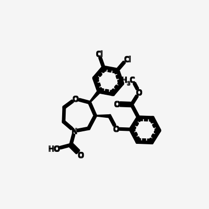 COC(=O)c1ccccc1OC[C@H]1CN(C(=O)O)CCO[C@H]1c1ccc(Cl)c(Cl)c1